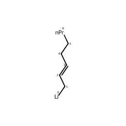 [Li][CH2]C=CCCCCC